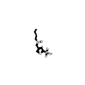 CCCC[N+]([O-])=Cc1coc(S(=O)(=O)O)c1